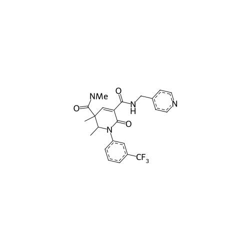 CNC(=O)C1(C)C=C(C(=O)NCc2ccncc2)C(=O)N(c2cccc(C(F)(F)F)c2)C1C